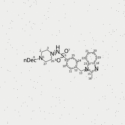 CCCCCCCCCCN1CCN(NS(=O)(=O)c2ccc(Cn3c(C)nc4ccccc43)cc2)CC1